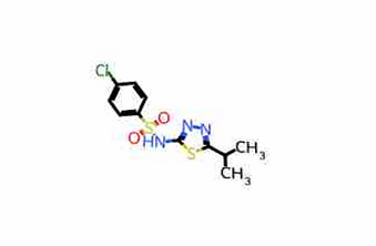 CC(C)c1nnc(NS(=O)(=O)c2ccc(Cl)cc2)s1